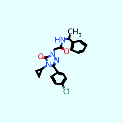 CC(NC(=O)Cn1nc(-c2ccc(Cl)cc2)n(C2CC2)c1=O)c1ccccc1